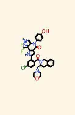 Cn1cc(N(C(=O)c2cc(-c3cc(Cl)ccc3C(=O)N3Cc4ccccc4C[C@H]3CN3CCOCC3)n(C)c2CC(F)F)c2ccc(O)cc2)cn1